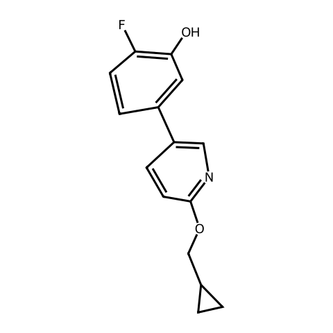 Oc1cc(-c2ccc(OCC3CC3)nc2)ccc1F